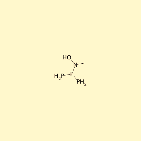 CN(O)P(P)P